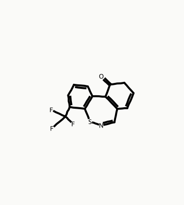 O=C1CC=CC2=C1c1cccc(C(F)(F)F)c1SN=C2